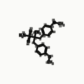 COc1ccc(CC(C)(Cc2ccc(OC)cc2)S(N)(=O)=O)cc1